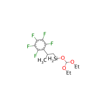 CCOC(OCC)O[SiH2]CC(C)c1c(F)c(F)c(F)c(F)c1F